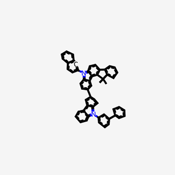 CC1(C)c2ccccc2-c2ccc3c(c21)c1cc(-c2ccc4c(c2)c2ccccc2n4-c2cccc(-c4ccccc4)c2)ccc1n3-c1ccc2ccccc2c1